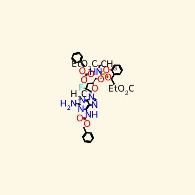 CCOC(=O)CCc1ccccc1OP(=O)(N[C@@H](C)C(=O)OCC)OC[C@H]1O[C@@H](n2cnc3c(NC(=O)OCc4ccccc4)nc(N)nc32)[C@](C)(F)C1OC(=O)OCc1ccccc1